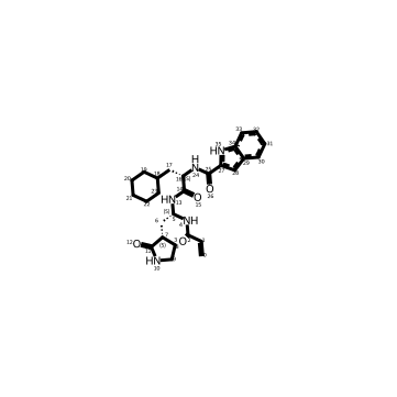 C=CC(=O)N[C@H](C[C@@H]1CCNC1=O)NC(=O)[C@H](CC1CCCCC1)NC(=O)c1cc2ccccc2[nH]1